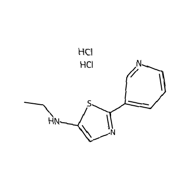 CCNc1cnc(-c2cccnc2)s1.Cl.Cl